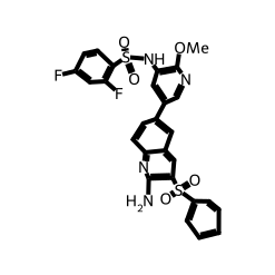 COc1ncc(-c2ccc3nc(N)c(S(=O)(=O)c4ccccc4)cc3c2)cc1NS(=O)(=O)c1ccc(F)cc1F